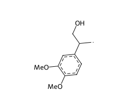 [CH2]C(CO)c1ccc(OC)c(OC)c1